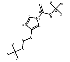 CC(C)(C)CCCc1cn(C(=O)OC(C)(C)C)cn1